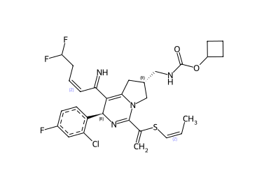 C=C(S/C=C\C)C1=N[C@@H](c2ccc(F)cc2Cl)C(C(=N)/C=C\CC(F)F)=C2C[C@H](CNC(=O)OC3CCC3)CN12